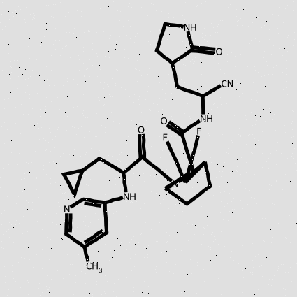 Cc1cncc(NC(CC2CC2)C(=O)N2C3CCC(C2C(=O)NC(C#N)CC2CCNC2=O)C(F)(F)C3)c1